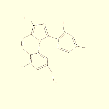 COc1cc(F)c2nnc3c(C)nc(-c4ccc(F)cc4Cl)n3c2c1